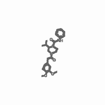 COc1ccc(CC(=O)N2CCN(C(=O)Nc3ccccc3)C(C(C)C)C2)cc1OC